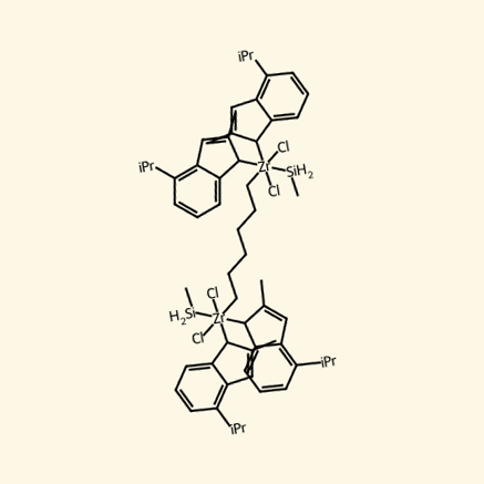 C[SiH2][Zr]([Cl])([Cl])([CH2]CCCC[CH2][Zr]([Cl])([Cl])([SiH2]C)([CH]1C(C)=Cc2c(C(C)C)cccc21)[CH]1C(C)=Cc2c(C(C)C)cccc21)([CH]1C(C)=Cc2c(C(C)C)cccc21)[CH]1C(C)=Cc2c(C(C)C)cccc21